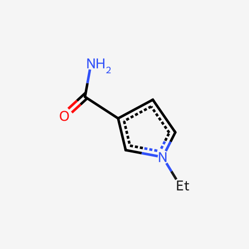 CCn1ccc(C(N)=O)c1